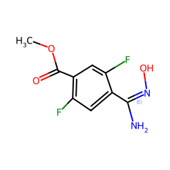 COC(=O)c1cc(F)c(/C(N)=N\O)cc1F